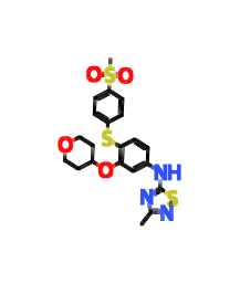 Cc1nsc(Nc2ccc(Sc3ccc(S(C)(=O)=O)cc3)c(OC3CCOCC3)c2)n1